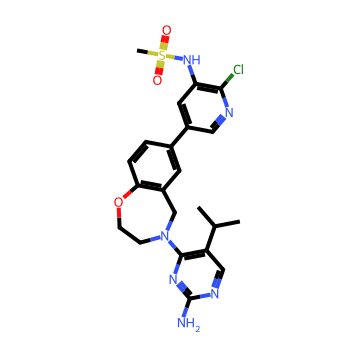 CC(C)c1cnc(N)nc1N1CCOc2ccc(-c3cnc(Cl)c(NS(C)(=O)=O)c3)cc2C1